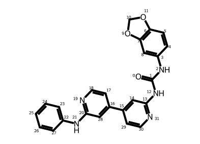 O=C(Nc1ccc2c(c1)OCO2)Nc1cc(-c2ccnc(Nc3ccccc3)c2)ccn1